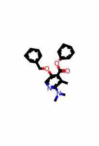 Cc1c(N(C)C)ncc(OCc2ccccc2)c1C(=O)Oc1ccccc1